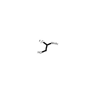 CC(=O)NC(CO)C(F)(F)F